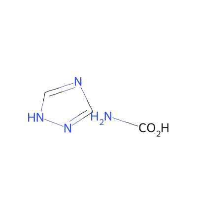 NC(=O)O.c1nc[nH]n1